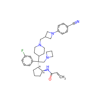 C=CC(=O)N[C@H]1CCC[C@@H]1C(CN1CCC1)(c1cccc(F)c1)C1CCN(CC2CN(c3ccc(C#N)cc3)C2)CC1